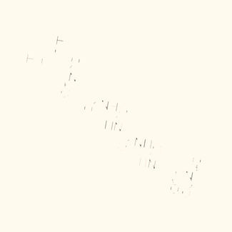 CC(C)C1CC(=O)N(CCCC(=O)NCC(=O)NCC(=O)NCC(=O)NCCC(=O)ON2C(=O)CCC2=O)C1=O